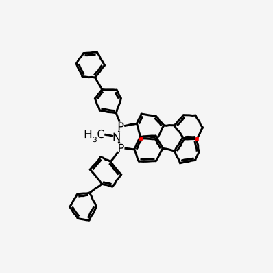 CN(P(c1ccc(C2=CCCC=C2)cc1)c1ccc(-c2ccccc2)cc1)P(c1ccc(-c2ccccc2)cc1)c1ccc(-c2ccccc2)cc1